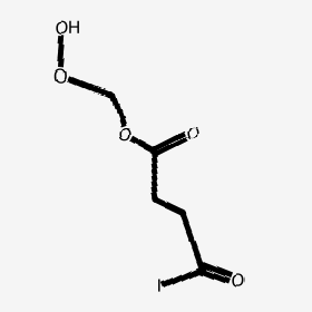 O=C(I)CCC(=O)OCOO